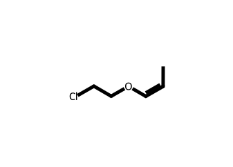 C/C=C\OCCCl